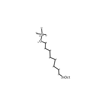 CCCCCCCCCCCCCCC[CH]O[Si](C)(C)C